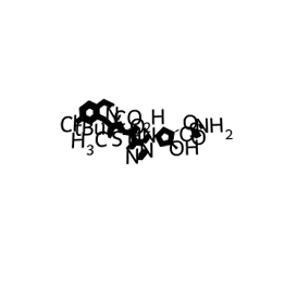 Cc1sc(C(=O)c2cncnc2N[C@@H]2C[C@H](COS(N)(=O)=O)[C@@H](O)C2)cc1[C@@]1(C(C)(C)C)c2cc(Cl)ccc2CCN1C(=O)O